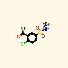 CCC(=O)c1cc(S(=O)(=O)NC(C)(C)C)ccc1Cl